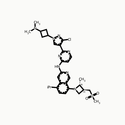 CC(C)c1ccc(N2C[C@H](CS(C)(=O)=O)[C@H]2C)c2cnc(Nc3ccnc(-c4cn(C5CC(N(C)C)C5)nc4Cl)n3)cc12